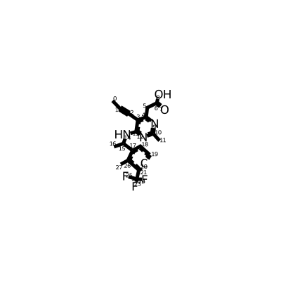 CC#Cc1c(CC(=O)O)nc(C)nc1NC(C)c1cccc(C(F)(F)F)c1C